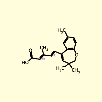 CC(/C=C/C1=CC(C)(C)COc2ccc(C)cc21)=C\C(=O)O